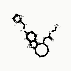 CCOC(=O)CC1CCCCCc2[nH]c3cc(OCc4nccs4)ccc3c21